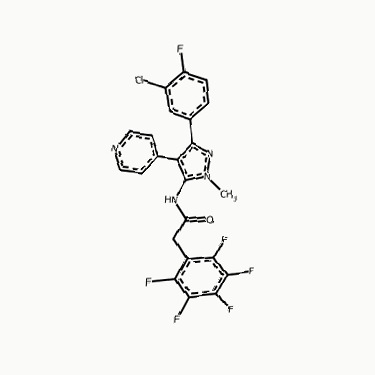 Cn1nc(-c2ccc(F)c(Cl)c2)c(-c2ccncc2)c1NC(=O)Cc1c(F)c(F)c(F)c(F)c1F